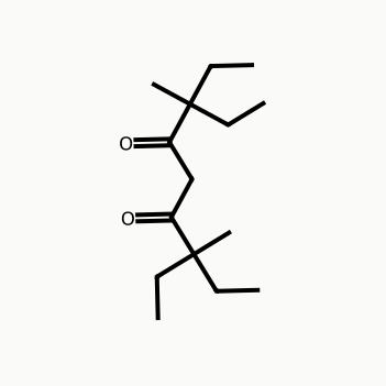 CCC(C)(CC)C(=O)CC(=O)C(C)(CC)CC